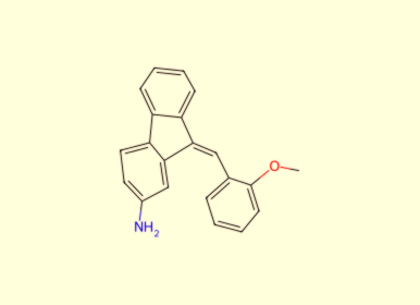 COc1ccccc1C=C1c2ccccc2-c2ccc(N)cc21